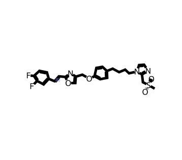 CS(=O)(=O)Cc1nccn1CCCCc1ccc(OCc2coc(/C=C/c3ccc(F)c(F)c3)n2)cc1